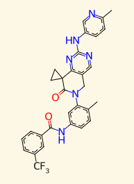 Cc1ccc(Nc2ncc3c(n2)C2(CC2)C(=O)N(c2cc(NC(=O)c4cccc(C(F)(F)F)c4)ccc2C)C3)cn1